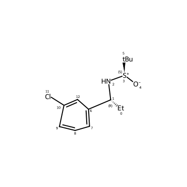 CC[C@@H](N[S@+]([O-])C(C)(C)C)c1cccc(Cl)c1